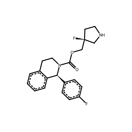 O=C(OC[C@]1(F)CCNC1)N1CCc2ccccc2[C@@H]1c1ccc(F)cc1